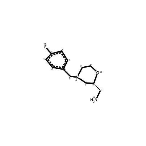 NC[C@@H]1CN(Cc2ccc(F)cc2)CCO1